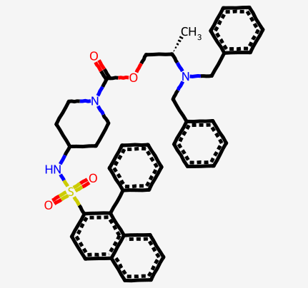 C[C@@H](COC(=O)N1CCC(NS(=O)(=O)c2ccc3ccccc3c2-c2ccccc2)CC1)N(Cc1ccccc1)Cc1ccccc1